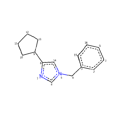 c1ccc(Cn2cnc(C3CCCC3)c2)cc1